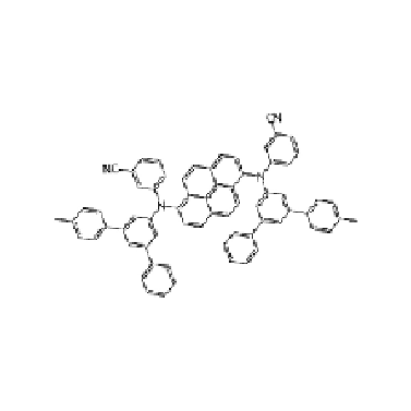 Cc1ccc(-c2cc(-c3ccccc3)cc(N(c3cccc(C#N)c3)c3ccc4ccc5c(N(c6cccc(C#N)c6)c6cc(-c7ccccc7)cc(-c7ccc(C)cc7)c6)ccc6ccc3c4c65)c2)cc1